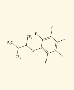 Fc1c(F)c(F)c(OC(C(C(F)(F)F)C(F)(F)F)C(F)(F)F)c(F)c1F